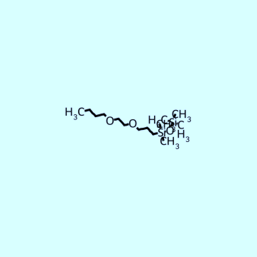 CCCCOCCOCCC[Si](C)(C)O[Si](C)(C)C